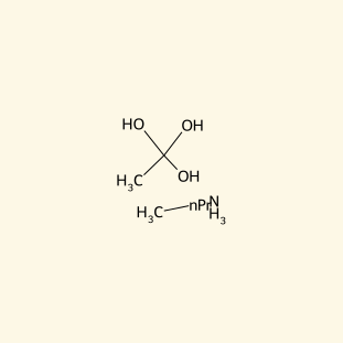 CC(O)(O)O.CCCC.N